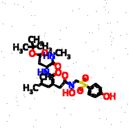 CNC(=O)[C@H](CC(=O)OC(C)(C)C)NC(=O)[C@@H](CC(=O)N(O)CS(=O)(=O)c1ccc(O)cc1)CC(C)C